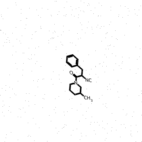 [C-]#[N+]C(Cc1ccccc1)C(=O)N1CCCC(C)C1